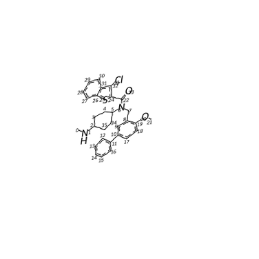 CNC1CCC(N(Cc2cc(-c3ccccc3)ccc2OC)C(=O)c2sc3ccccc3c2Cl)CC1